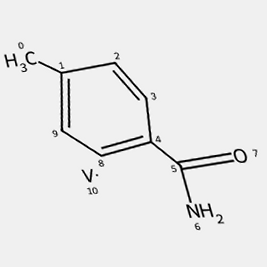 Cc1ccc(C(N)=O)cc1.[V]